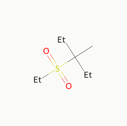 CCC(C)(CC)S(=O)(=O)CC